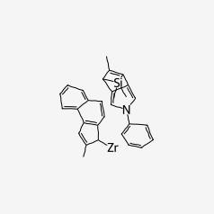 CC1=C2c3cn(-c4ccccc4)cc3C1[Si]2(C)C.CC1=Cc2c(ccc3ccccc23)[CH]1[Zr]